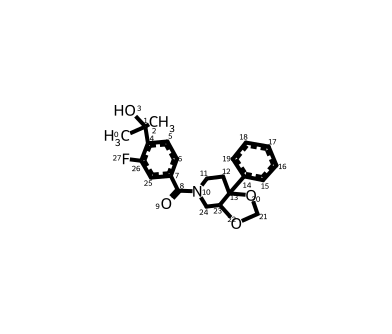 CC(C)(O)c1ccc(C(=O)N2CCC3(c4ccccc4)OCOC3C2)cc1F